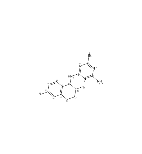 CCc1nc(N)nc(NC2c3ccc(C)cc3CCC2C)n1